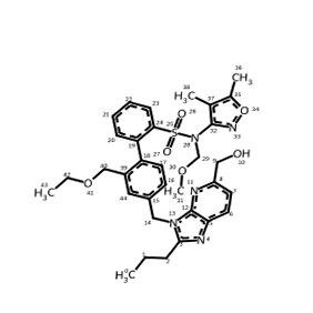 CCCc1nc2ccc(CO)nc2n1Cc1ccc(-c2ccccc2S(=O)(=O)N(COC)c2noc(C)c2C)c(COCC)c1